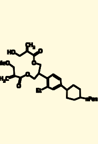 C=C(CO)C(=O)OCC(COC(=O)C(=C)COC)c1ccc(C2CCC(CCCCC)CC2)cc1CC